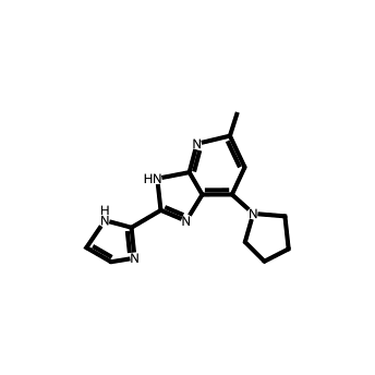 Cc1cc(N2CCCC2)c2nc(-c3ncc[nH]3)[nH]c2n1